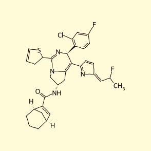 CC(F)/C=C1\C=CC(C2=C3C[C@H](NC(=O)C4=C[C@H]5CCC[C@@H]4C5)CN3C(C3CC=CS3)=N[C@H]2c2ccc(F)cc2Cl)=N1